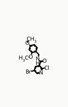 COc1ccc(CNC(=O)c2cc(Br)cnc2Cl)c(OC)c1